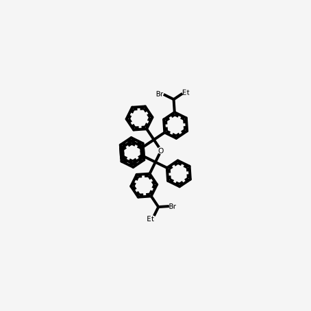 CCC(Br)c1cccc(C(OC(c2ccccc2)(c2ccccc2)c2cccc(C(Br)CC)c2)(c2ccccc2)c2ccccc2)c1